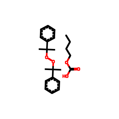 CC(C)(OOC(C)(C)c1ccccc1)c1ccccc1.CCCCOC(=O)O